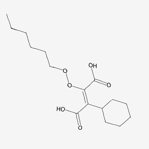 CCCCCCOO/C(C(=O)O)=C(\C(=O)O)C1CCCCC1